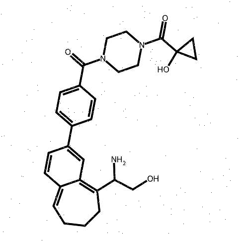 NC(CO)C1=c2cc(-c3ccc(C(=O)N4CCN(C(=O)C5(O)CC5)CC4)cc3)ccc2=CCCC1